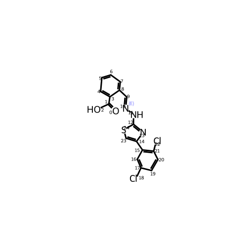 O=C(O)c1ccccc1/C=N/Nc1nc(-c2cc(Cl)ccc2Cl)cs1